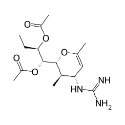 CC[C@@H](OC(C)=O)[C@@H](OC(C)=O)[C@@H]1OC(C)=C[C@H](NC(=N)N)[C@H]1C